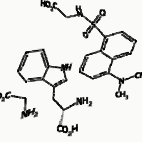 CN(C)c1cccc2c(S(=O)(=O)NCC(=O)O)cccc12.NCC(=O)O.N[C@@H](Cc1c[nH]c2ccccc12)C(=O)O